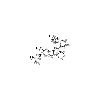 Cc1cn2nc([C@@H]3CCCCN3C(=O)c3cc(Cl)ccc3NS(C)(=O)=O)cc2nc1NCC(C)N